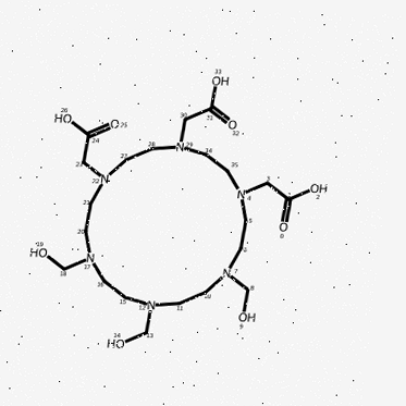 O=C(O)CN1CCN(CO)CCN(CO)CCN(CO)CCN(CC(=O)O)CCN(CC(=O)O)CC1